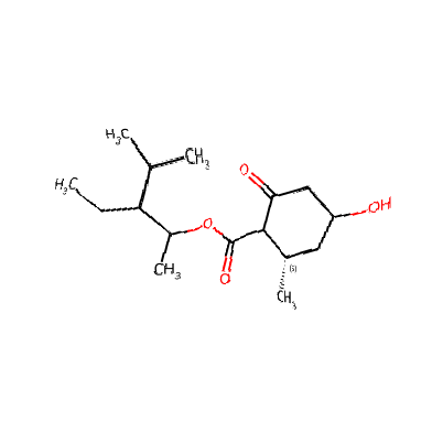 CCC(C(C)C)C(C)OC(=O)C1C(=O)CC(O)C[C@@H]1C